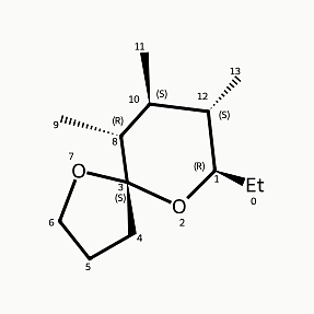 CC[C@H]1O[C@@]2(CCCO2)[C@H](C)[C@@H](C)[C@@H]1C